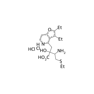 CCSCC(N)C(O)(Cc1nccc2oc(CC)c(CC)c12)C(=O)O.Cl.Cl